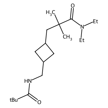 CCN(CC)C(=O)C(C)(C)CC1CC(CNC(=O)C(C)(C)C)C1